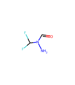 NN(C=O)C(F)F